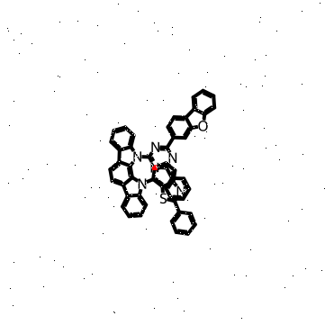 c1ccc(-c2nc(-c3ccc4c(c3)oc3ccccc34)nc(-n3c4ccccc4c4ccc5c6ccccc6n(-c6cccc7nc(-c8ccccc8)sc67)c5c43)n2)cc1